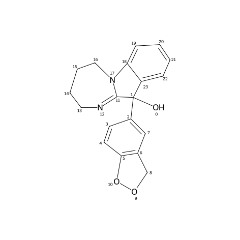 OC1(c2ccc3c(c2)COO3)C2=NCCCCN2c2ccccc21